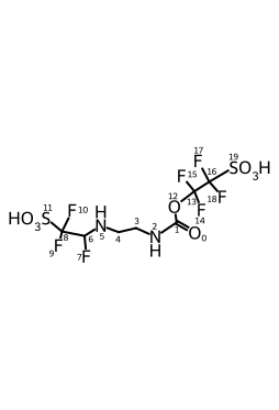 O=C(NCCNC(F)C(F)(F)S(=O)(=O)O)OC(F)(F)C(F)(F)S(=O)(=O)O